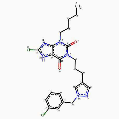 CCCCCn1c(=O)n(CCCc2cnn(Cc3cccc(Cl)c3)c2)c(=O)c2[nH]c(Cl)nc21